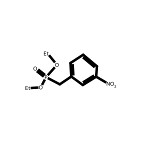 CCOP(=O)(Cc1cccc([N+](=O)[O-])c1)OCC